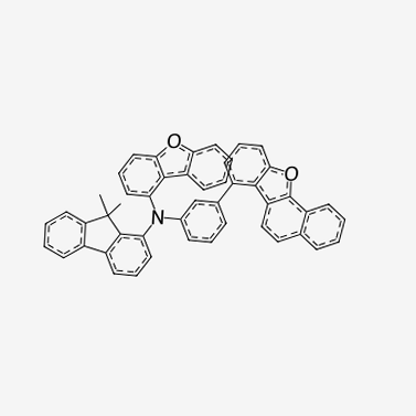 CC1(C)c2ccccc2-c2cccc(N(c3cccc(-c4cccc5oc6c7ccccc7ccc6c45)c3)c3cccc4oc5ccccc5c34)c21